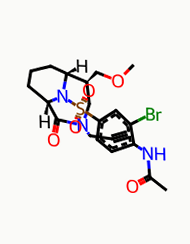 C#CCN1C[C@H](COC)[C@H]2CCC[C@@H](C1=O)N2S(=O)(=O)c1ccc(NC(C)=O)c(Br)c1